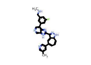 CNCc1cc(F)cc(-c2cncc3[nH]c(C4=NNC5C=CC=C(c6cncc(C)c6)C=C45)nc23)c1